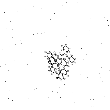 c1ccc(N(c2ccccc2)c2cc3c(c4ccccc24)B2c4cc(-c5cccc6ccccc56)c5ccccc5c4Oc4cccc(c42)O3)cc1